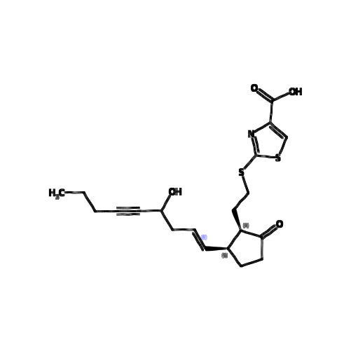 CCCC#CC(O)C/C=C/[C@@H]1CCC(=O)[C@@H]1CCSc1nc(C(=O)O)cs1